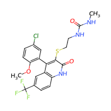 CNC(=O)NCCSc1c(-c2cc(Cl)ccc2OC)c2cc(C(F)(F)F)ccc2[nH]c1=O